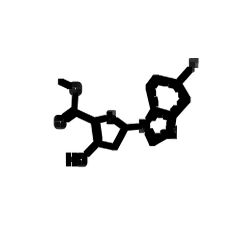 COC(=O)C1=C(O)CC(n2cnc3cc(F)ccc32)S1